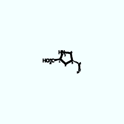 O=C(O)[C@@H]1C[C@@H](CF)CN1